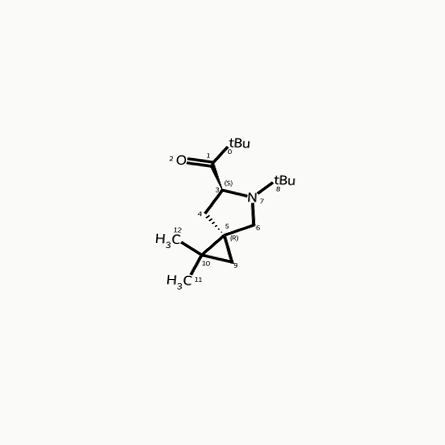 CC(C)(C)C(=O)[C@@H]1C[C@]2(CN1C(C)(C)C)CC2(C)C